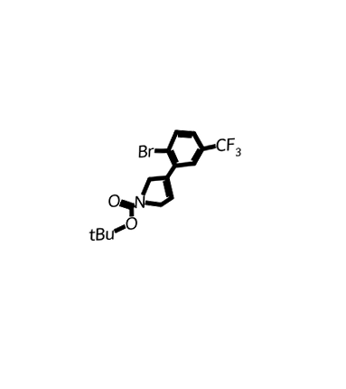 CC(C)(C)OC(=O)N1CC=C(c2cc(C(F)(F)F)ccc2Br)C1